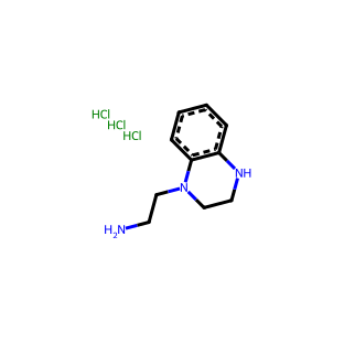 Cl.Cl.Cl.NCCN1CCNc2ccccc21